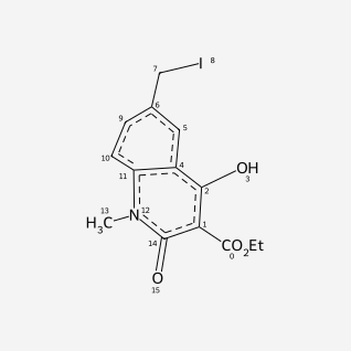 CCOC(=O)c1c(O)c2cc(CI)ccc2n(C)c1=O